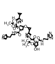 CC(C)(C)[C@@H](C(=O)N1C[C@H](OC2CC2c2cn([C@H](C(=O)N3C[C@H](O)C[C@H]3C(=O)NCCn3ncnn3)C(C)(C)C)nn2)C[C@H]1C(=O)NCCCc1cnoc1)n1cc(C2CC2)nn1